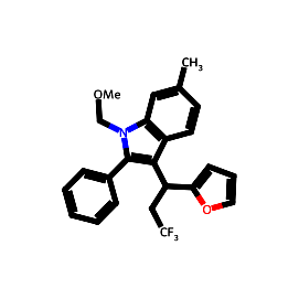 COCn1c(-c2ccccc2)c(C(CC(F)(F)F)c2ccco2)c2ccc(C)cc21